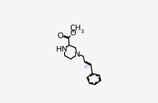 COC(=O)C1CN(C/C=C/c2ccccc2)CCN1